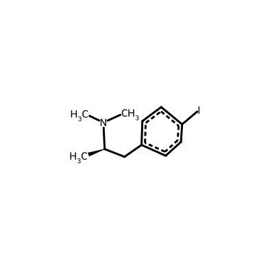 C[C@H](Cc1ccc(I)cc1)N(C)C